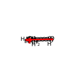 CC(C)(C)C(c1nc(-c2cc(F)ccc2F)cn1Cc1ccccc1)N(CCCN)C(=O)CSCCNC(=O)CCOCCOCCOCCOCCOCCOCCOCCOCCNC(=O)CCN1C(=O)C=CC1=O